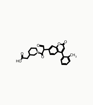 Cc1ccccc1-c1cc(=O)oc2cc(C(C=O)C(=O)N3CCCC(CC(=O)O)C3)ccc12